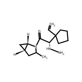 C=CC1([C@H](NN)C(=O)N2C(C)C[C@@H]3C[C@@H]32)CCCC1